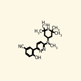 CN(c1ccc(-c2cc(C#N)ccc2O)nn1)C1CC(C)(C)NC(C)(C)C1